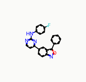 Fc1ccc(Nc2nccc(-c3ccc4noc(-c5ccccc5)c4c3)n2)cc1